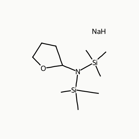 C[Si](C)(C)N(C1CCCO1)[Si](C)(C)C.[NaH]